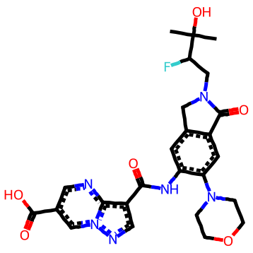 CC(C)(O)C(F)CN1Cc2cc(NC(=O)c3cnn4cc(C(=O)O)cnc34)c(N3CCOCC3)cc2C1=O